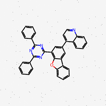 c1ccc(-c2nc(-c3ccccc3)nc(-c3cc(-c4ccnc5ccccc45)cc4c3oc3ccccc34)n2)cc1